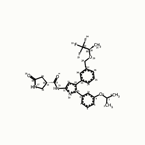 CC(C)Oc1cccc(-n2nc(NC(=O)[C@@H]3CNC(=O)C3)cc2-c2cccc(CO[C@H](C)C(F)(F)F)c2)c1